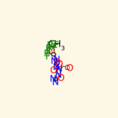 CC(COc1ccc(-c2noc(CN3C(=O)N(CCC4CCOCC4)C4(CCN(C(=O)c5cncnc5)CC4)C3=O)n2)cc1C(F)(F)F)(C(F)(F)F)C(F)(F)F